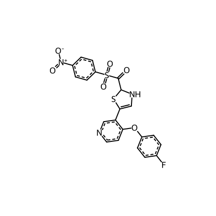 O=C(C1NC=C(c2cnccc2Oc2ccc(F)cc2)S1)S(=O)(=O)c1ccc([N+](=O)[O-])cc1